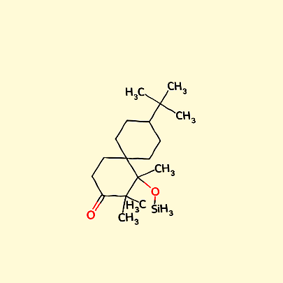 CC(C)(C)C1CCC2(CCC(=O)C(C)(C)C2(C)O[SiH3])CC1